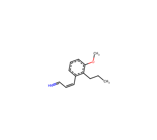 CCCc1c(/C=C\C=N)cccc1OC